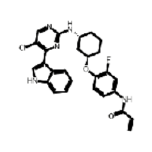 C=CC(=O)Nc1ccc(O[C@@H]2CCC[C@@H](Nc3ncc(Cl)c(-c4c[nH]c5ccccc45)n3)C2)c(F)c1